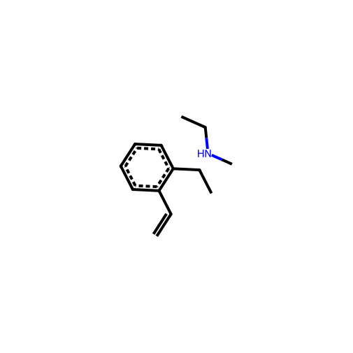 C=Cc1ccccc1CC.CCNC